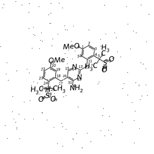 COc1ccc(C(C)(C)[SH](=O)=O)c(Cc2ncc(Cc3cc(OC)ccc3C(C)(C)[SH](=O)=O)c(N)n2)c1